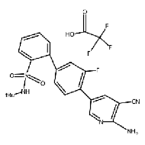 CC(C)(C)NS(=O)(=O)c1ccccc1-c1ccc(-c2cnc(N)c(C#N)c2)c(F)c1.O=C(O)C(F)(F)F